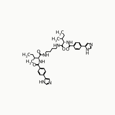 CCC(C)[C@H](NC(=O)c1ccc(-c2cnc[nH]2)cc1)C(=O)NCCCCNC(=O)[C@@H](NC(=O)c1ccc(-c2cnc[nH]2)cc1)C(C)CC